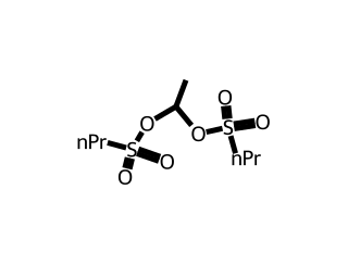 CCCS(=O)(=O)OC(C)OS(=O)(=O)CCC